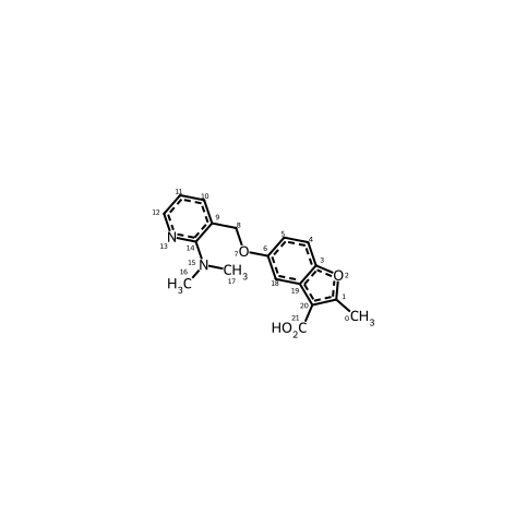 Cc1oc2ccc(OCc3cccnc3N(C)C)cc2c1C(=O)O